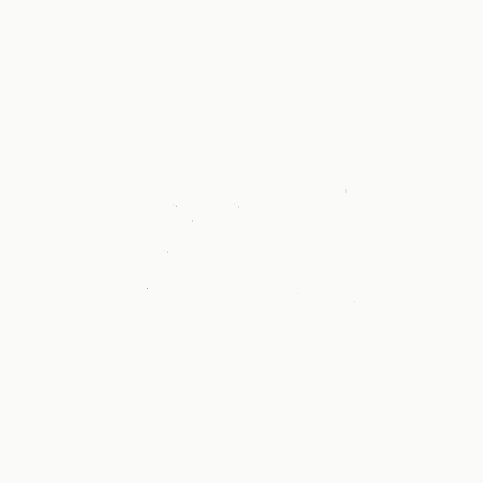 CC(C)Oc1ccc(C(=O)N2CCC3(CC2)NCCn2c(C(F)(F)F)ccc23)cc1CO